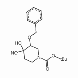 CC(C)(C)OC(=O)N1CCC(O)(C#N)C(OCc2ccccc2)C1